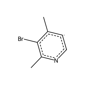 Cc1[c]cnc(C)c1Br